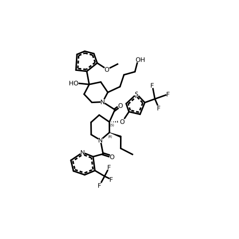 CCC[C@H]1N(C(=O)c2ncccc2C(F)(F)F)CCC[C@@]1(Oc1csc(C(F)(F)F)c1)C(=O)N1CCC(O)(c2ccccc2OC)CC1CCCO